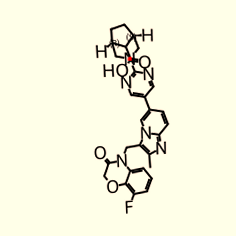 Cc1nc2ccc(-c3cnc(N4C[C@H]5CC[C@@H](C4)C5C(=O)O)nc3)cn2c1CN1C(=O)COc2c(F)cccc21